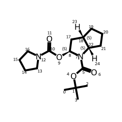 CC(C)(C)OC(=O)N1[C@@H](OC(=O)N2CCCC2)C[C@@H]2CCC[C@@H]21